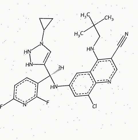 [2H][C@@](Nc1cc(Cl)c2ncc(C#N)c(NCC(C)(C)C)c2c1)(C1=CN(C2CC2)NN1)c1ccc(F)nc1F